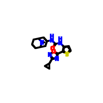 CN1C2CCCC1CC(NC(=O)Nc1ccsc1-c1nc(C3CC3)no1)C2